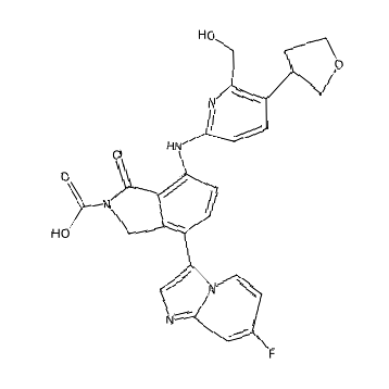 O=C(O)N1Cc2c(-c3cnc4cc(F)ccn34)ccc(Nc3ccc(C4CCOC4)c(CO)n3)c2C1=O